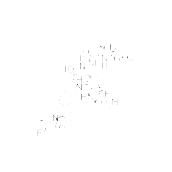 COC(=O)N[C@H](C(=O)NNC[C@H](O)[C@H](Cc1ccc(-c2ccn(CC(F)F)n2)cc1)NC(=O)[C@@H](NC(=O)O)C(C)(C)C(F)(F)F)C(C)(C)C(F)(F)F